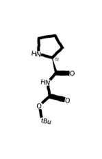 CC(C)(C)OC(=O)NC(=O)[C@@H]1[CH][CH]CN1